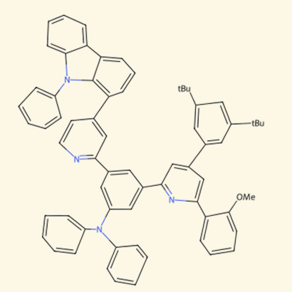 COc1ccccc1-c1cc(-c2cc(C(C)(C)C)cc(C(C)(C)C)c2)cc(-c2cc(-c3cc(-c4cccc5c6ccccc6n(-c6ccccc6)c45)ccn3)cc(N(c3ccccc3)c3ccccc3)c2)n1